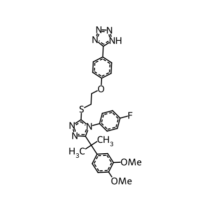 COc1ccc(C(C)(C)c2nnc(SCCOc3ccc(-c4nnn[nH]4)cc3)n2-c2ccc(F)cc2)cc1OC